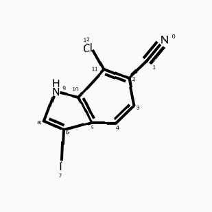 N#Cc1ccc2c(I)c[nH]c2c1Cl